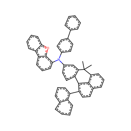 CC1(C)c2cc(N(c3ccc(-c4ccccc4)cc3)c3cccc4c3oc3ccccc34)ccc2-c2c(-c3cccc4ccccc34)ccc3cccc1c23